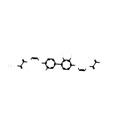 C=C(C)C(=O)O/C=C\Oc1ccc(-c2ccc(O/C=C\OC(=O)C(=C)C)c(F)c2F)cc1F